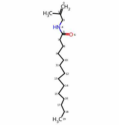 C=C(C)CNC(=O)CCCCCCCCCCCCC